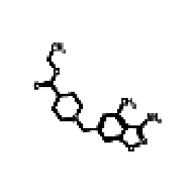 CCOC(=O)C1CCN(Cc2cc(C)c3c(N)noc3c2)CC1